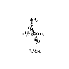 CNCC1CN(C(=O)CCOCCOC)CCN1C(=O)Oc1ccc(CNC(=O)CCCC/C=C/C(C)C)cc1OC